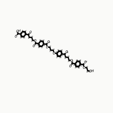 O=C(O)c1ccc(C(=O)CCCOC(=O)c2ccc(C(=O)OCCCOc3ccc(C(=O)CCCOC(=O)c4ccc(C(=O)OCCO)cc4)cc3)cc2)cc1